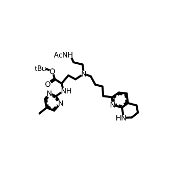 CC(=O)NCCN(CCCCc1ccc2c(n1)NCCC2)CCC(Nc1ncc(C)cn1)C(=O)OC(C)(C)C